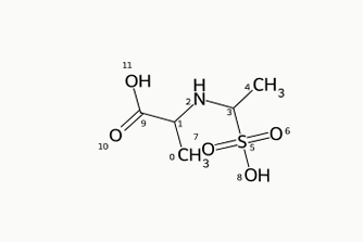 CC(NC(C)S(=O)(=O)O)C(=O)O